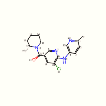 Cc1ccc(Nc2ncc(C(=O)N3CCCC[C@H]3C)cc2Cl)cn1